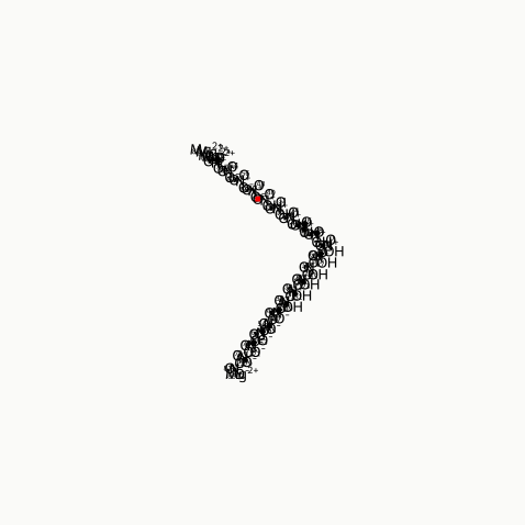 O=[N+]([O-])O.O=[N+]([O-])O.O=[N+]([O-])O.O=[N+]([O-])O.O=[N+]([O-])O.O=[N+]([O-])O.O=[N+]([O-])O.O=[N+]([O-])O.O=[N+]([O-])O.O=[N+]([O-])O.O=[N+]([O-])O.O=[N+]([O-])[O-].O=[N+]([O-])[O-].O=[N+]([O-])[O-].O=[N+]([O-])[O-].O=[N+]([O-])[O-].O=[N+]([O-])[O-].O=[N+]([O-])[O-].O=[N+]([O-])[O-].O=[N+]([O-])[O-].O=[N+]([O-])[O-].[Mg+2].[Mg+2].[Mg+2].[Mg+2].[Mg+2]